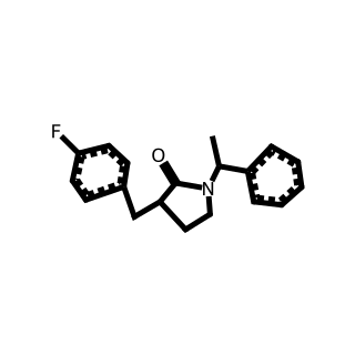 CC(c1ccccc1)N1CCC(Cc2ccc(F)cc2)C1=O